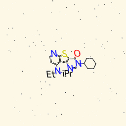 CCN(c1ccnc2sc3c(=O)n(C4CCCCC4)cnc3c12)C(C)C